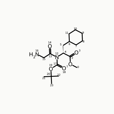 COC(=O)[C@@H](CC1CCCCC1)N(C(=O)CN)C(=O)OC(C)(C)C